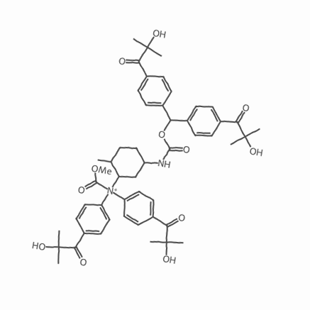 COC(=O)[N+](c1ccc(C(=O)C(C)(C)O)cc1)(c1ccc(C(=O)C(C)(C)O)cc1)C1CC(NC(=O)OC(c2ccc(C(=O)C(C)(C)O)cc2)c2ccc(C(=O)C(C)(C)O)cc2)CCC1C